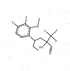 CCC(CC(O)(C=O)C(F)(F)F)c1ccc(F)c(F)c1OC